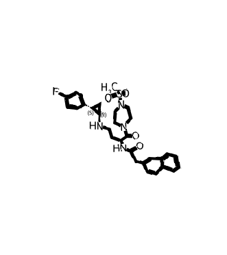 CS(=O)(=O)N1CCN(C(=O)C(CCN[C@@H]2C[C@H]2c2ccc(F)cc2)NC(=O)Cc2ccc3ccccc3c2)CC1